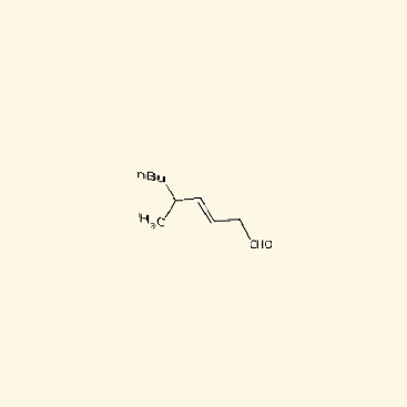 CCCCC(C)C=CCC=O